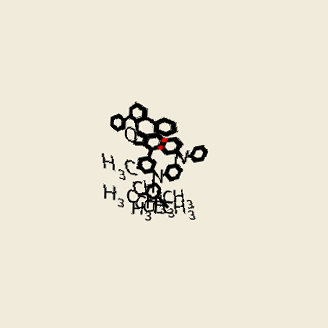 Cc1cc(-c2cccc3c(-c4c(-c5ccccc5)cccc4-c4ccccc4)occ23)cc(N(C2=CC(C(C)(C)C)C(C)C(C(C)(C)C)=C2)c2cccc(N(c3ccccc3)c3ccccc3)c2)c1